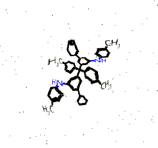 Cc1ccc(Nc2cc(-c3ccccc3)cc(C(c3ccc(C)cc3)(c3ccc(C)cc3)c3cc(Nc4ccc(C)cc4)cc(-c4ccccc4)c3)c2)cc1